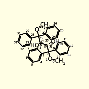 COC(c1ccccc1)(c1ccccc1)[C@@H](O)[C@H](O)C(OC)(c1ccccc1)c1ccccc1